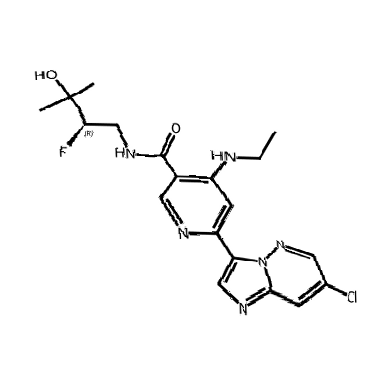 CCNc1cc(-c2cnc3cc(Cl)cnn23)ncc1C(=O)NC[C@@H](F)C(C)(C)O